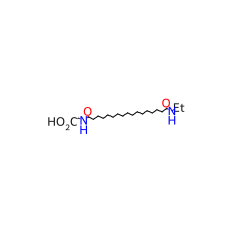 CCNC(=O)CCCCCCCCCCCCCCCC(=O)NCC(=O)O